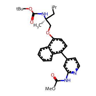 COC(=O)Nc1cc(-c2ccc(OC[C@](C)(CC(C)C)NC(=O)OC(C)(C)C)c3ccccc23)ccn1